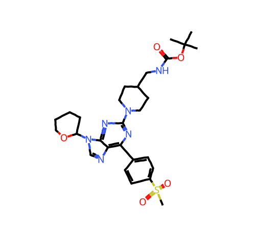 CC(C)(C)OC(=O)NCC1CCN(c2nc(-c3ccc(S(C)(=O)=O)cc3)c3ncn(C4CCCCO4)c3n2)CC1